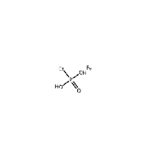 CCP(=O)(O)O.[Fe]